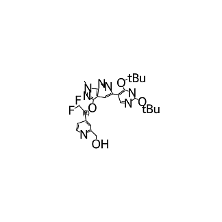 Cn1nc(O[C@H](c2ccnc(CO)c2)C(F)F)c2cc(-c3cnc(OC(C)(C)C)nc3OC(C)(C)C)nnc21